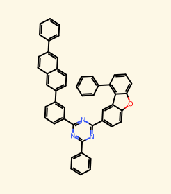 c1ccc(-c2ccc3cc(-c4cccc(-c5nc(-c6ccccc6)nc(-c6ccc7oc8cccc(-c9ccccc9)c8c7c6)n5)c4)ccc3c2)cc1